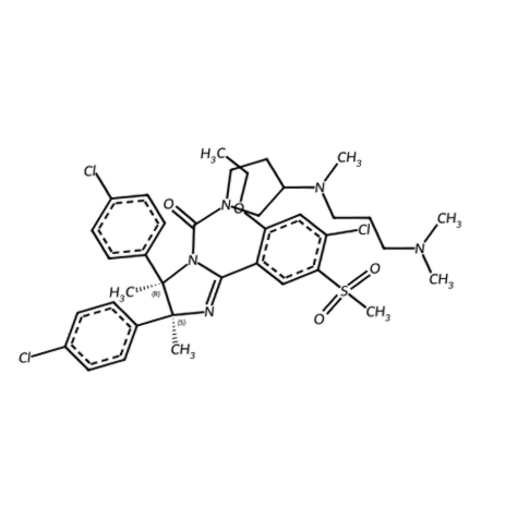 CCOc1cc(Cl)c(S(C)(=O)=O)cc1C1=N[C@@](C)(c2ccc(Cl)cc2)[C@@](C)(c2ccc(Cl)cc2)N1C(=O)N1CCC(N(C)CCCN(C)C)C1